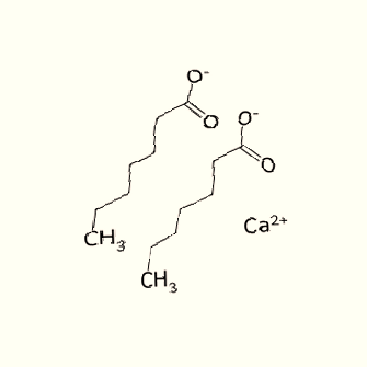 CCCCCCC(=O)[O-].CCCCCCC(=O)[O-].[Ca+2]